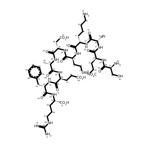 CSCC[C@H](NC(=O)[C@H](CCCCN)NC(=O)[C@@H](NC(=O)[C@H](CCC(=O)O)NC(=O)[C@@H](N)CO)C(C)C)C(=O)N[C@@H](CC(=O)O)C(=O)N[C@@H](C)C(=O)N[C@@H](CCC(=O)O)C(=O)N[C@@H](Cc1ccccc1)C(=O)N[C@@H](CCCNC(=N)N)C(=O)O